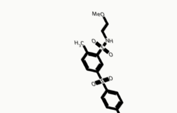 COCCNS(=O)(=O)c1cc(S(=O)(=O)c2ccc(F)cc2)ccc1C